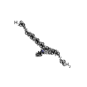 C=CC(=O)OCCCCCCOc1ccc(OC(=O)[C@H]2CC[C@H](OC(=O)c3ccc(OC(=O)c4ccc(OC(=O)[C@H]5CC[C@H](OC(=O)c6ccc(OCCCCCCOC(=O)C=C)cc6)CC5)cc4)cc3/C=N/N(CCCCCC)c3nc4ccccc4s3)CC2)cc1